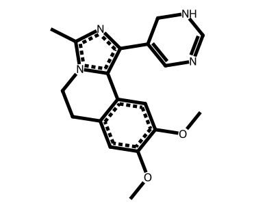 COc1cc2c(cc1OC)-c1c(C3=CN=CNC3)nc(C)n1CC2